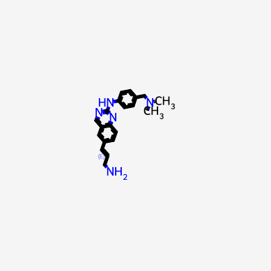 CN(C)Cc1ccc(Nc2ncc3cc(/C=C/CN)ccc3n2)cc1